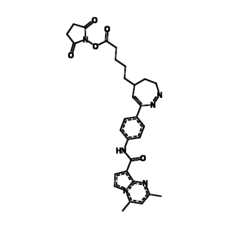 Cc1cc(C)n2ccc(C(=O)Nc3ccc(C4=CC(CCCCC(=O)ON5C(=O)CCC5=O)CCN=N4)cc3)c2n1